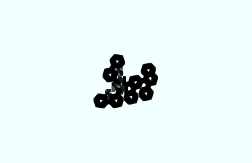 c1ccc(-c2cc(-c3c(-c4ccccc4)ccc4ccccc34)ccc2-c2nc(-c3cccc4c3sc3ccccc34)nc(-c3cccc4c3sc3ccccc34)n2)cc1